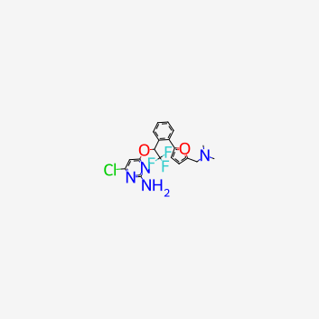 CN(C)Cc1ccc(-c2ccccc2C(Oc2cc(Cl)nc(N)n2)C(F)(F)F)o1